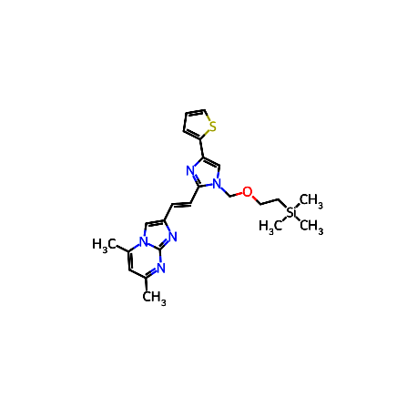 Cc1cc(C)n2cc(C=Cc3nc(-c4cccs4)cn3COCC[Si](C)(C)C)nc2n1